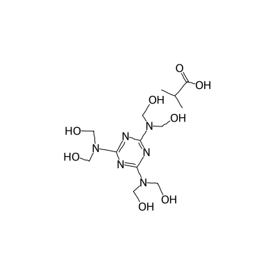 CC(C)C(=O)O.OCN(CO)c1nc(N(CO)CO)nc(N(CO)CO)n1